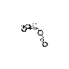 O=C(NCc1ccc(COc2ccccc2)cc1)c1ccc2ncccc2c1